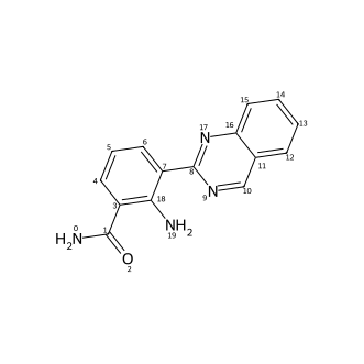 NC(=O)c1cccc(-c2ncc3ccccc3n2)c1N